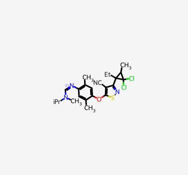 CCC1(c2nsc(Oc3cc(C)c(/N=C\N(C)C(C)C)cc3C)c2C#N)C(C)C1(Cl)Cl